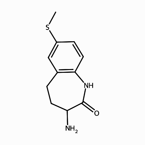 CSc1ccc2c(c1)CCC(N)C(=O)N2